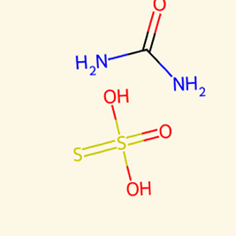 NC(N)=O.O=S(O)(O)=S